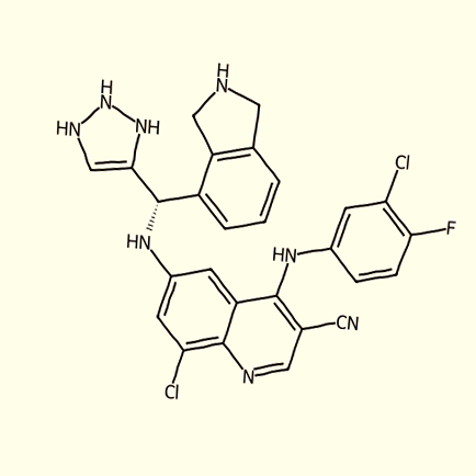 N#Cc1cnc2c(Cl)cc(N[C@H](C3=CNNN3)c3cccc4c3CNC4)cc2c1Nc1ccc(F)c(Cl)c1